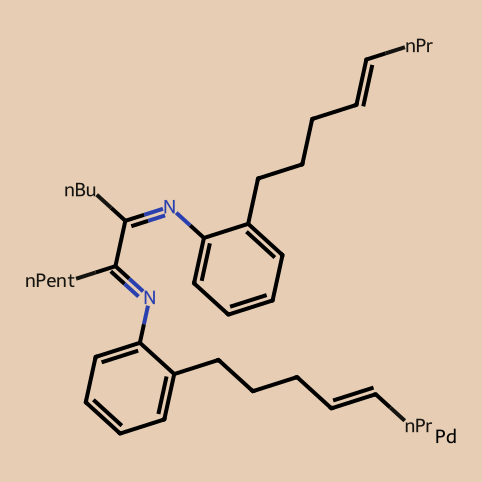 CCCC=CCCCc1ccccc1N=C(CCCC)C(CCCCC)=Nc1ccccc1CCCC=CCCC.[Pd]